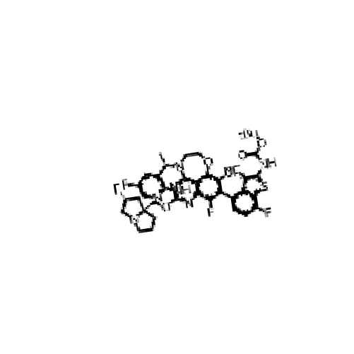 C[C@H](c1cc(F)cnc1N)N1CCOc2c(C(F)(F)F)c(-c3ccc(F)c4sc(NC(=O)OC(C)(C)C)c(C#N)c34)c(F)c3nc(OC[C@@]45CCCN4C[C@H](F)C5)nc1c23